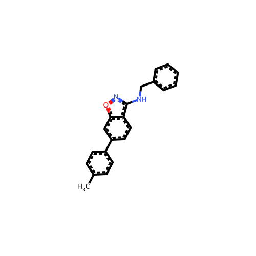 Cc1ccc(-c2ccc3c(NCc4ccccc4)noc3c2)cc1